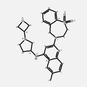 Cc1ccc2nc(N3CCS(=O)(=O)c4ccccc4C3)cc(NC3CCN(C4COC4)C3)c2c1